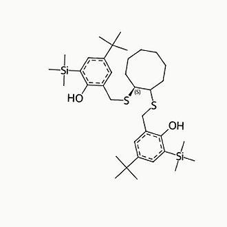 CC(C)(C)c1cc(CSC2CCCCCC[C@@H]2SCc2cc(C(C)(C)C)cc([Si](C)(C)C)c2O)c(O)c([Si](C)(C)C)c1